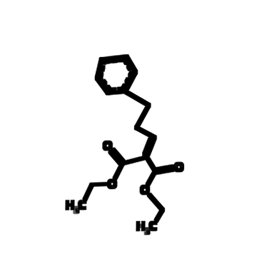 CCOC(=O)C(=CCCc1ccccc1)C(=O)OCC